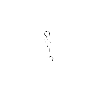 C=CC(=O)OCCCCC[Si](OCC)(OCC)c1ccccc1